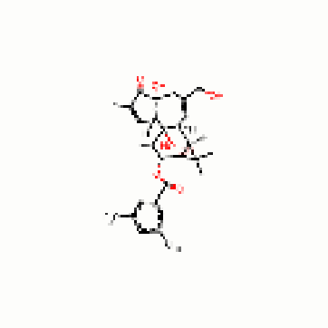 CC1=C[C@H]2[C@@]3(O)[C@H](C)[C@@H](OC(=O)c4cc(C(F)(F)F)cc(C(F)(F)F)c4)[C@]4(O)[C@@H]([C@@H]3C=C(CO)C[C@]2(O)C1=O)C4(C)C